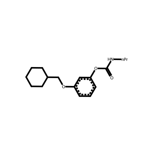 CCCNC(=O)Oc1cccc(OCC2CCCCC2)c1